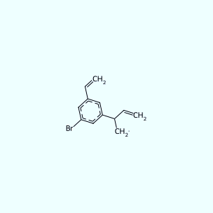 [CH2]C(C=C)c1cc(Br)cc(C=C)c1